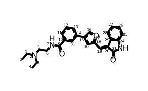 CCN(CC)CCNC(=O)c1cccc(-c2coc(/C=C3/C(=O)Nc4ccccc43)c2)c1